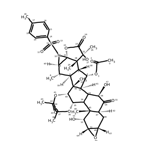 CC(=O)O[C@H]1[C@@H]2[C@H]([C@H](C)[C@H]3N(S(=O)(=O)c4ccc(C)cc4)[C@]34OC(=O)[C@@](C)(O)[C@]24C)[C@]2(C)[C@@H]1C1C([C@H](OC(C)=O)[C@@H]2OC(C)=O)[C@]2(C)[C@H](C[C@@H]3O[C@@H]3[C@@H]2O)C(=O)[C@@H]1O